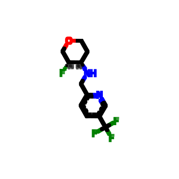 F[C@@H]1COCC[C@H]1NCc1ccc(C(F)(F)F)cn1